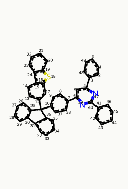 c1ccc(-c2cc(-c3ccc(C4(c5ccc6c(c5)sc5ccccc56)c5ccccc5-c5ccccc54)cc3)nc(-c3ccccc3)n2)cc1